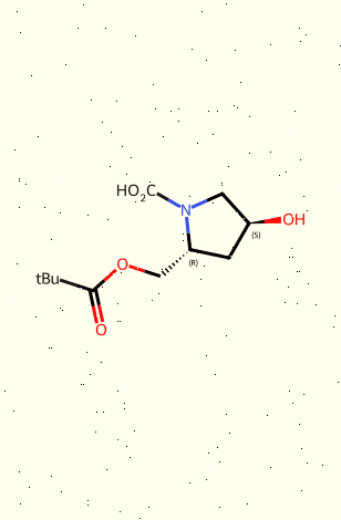 CC(C)(C)C(=O)OC[C@H]1C[C@H](O)CN1C(=O)O